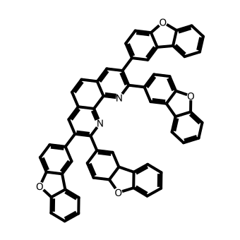 C1=CC2Oc3ccccc3C2C=C1c1nc2c(ccc3cc(-c4ccc5oc6ccccc6c5c4)c(-c4ccc5oc6ccccc6c5c4)nc32)cc1-c1ccc2oc3ccccc3c2c1